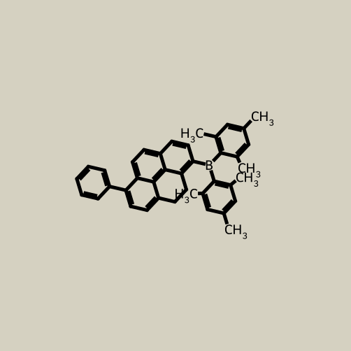 Cc1cc(C)c(B(c2ccc3ccc4c(-c5ccccc5)ccc5c4c3c2CC5)c2c(C)cc(C)cc2C)c(C)c1